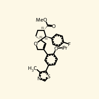 COC(=O)[C@H]1CC[C@@]2(C=C(c3cc(-c4scnc4C)ccc3OC(C)C)CO2)[C@@H]1c1ccc(F)cc1